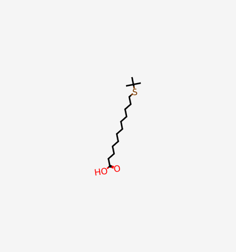 CC(C)(C)SCCCCCCCCCCCC(=O)O